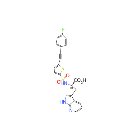 O=C(O)[C@@H](Cc1c[nH]c2ncccc12)NS(=O)(=O)c1ccc(C#Cc2ccc(F)cc2)s1